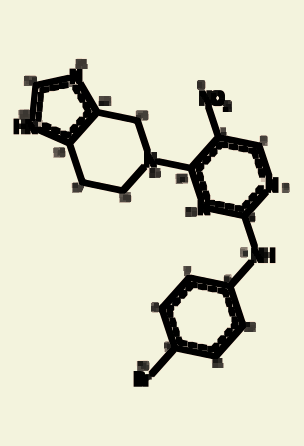 O=[N+]([O-])c1cnc(Nc2ccc(Br)cc2)nc1N1CCc2[nH]cnc2C1